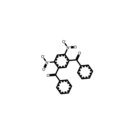 O=C(c1ccccc1)c1cc(C(=O)c2ccccc2)c([N+](=O)[O-])cc1[N+](=O)[O-]